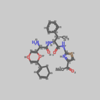 COC(=O)c1csc(NC(=O)[C@@H](NC(=O)[C@H](N)C2=COC=C(C3=CC=CCC3)O2)[C@@H](C)c2ccccc2)n1